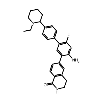 CCN1CCCCC1c1ccc(-c2cc(-c3ccc4c(c3)CCNC4=O)c(N)nc2F)cc1